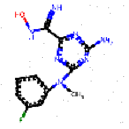 CN(c1cccc(F)c1)c1nc(N)nc(C(=N)NO)n1